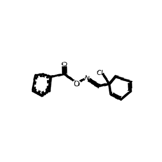 O=C(ON=CC1(Cl)C=CC=CC1)c1ccccc1